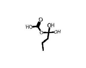 CCCC(O)(O)OC(=O)O